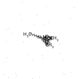 CCCCCCCCCCCCC(C)C(C(N)=O)(C1CCN(C)CC1)C1CCN(C)CC1